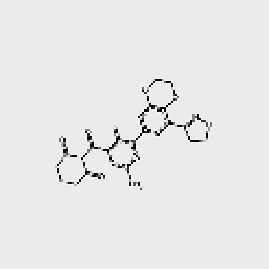 Cc1cc(C(=O)C2C(=O)CCCC2=O)c(=O)n(-c2cc3c(c(C4=NOCC4)c2)OCCO3)n1